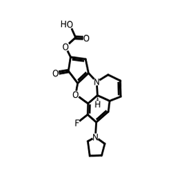 O=C(O)OC1=CC2=C(OC3=C(F)C(N4CCCC4)=CC4C=CCN2[C@H]34)C1=O